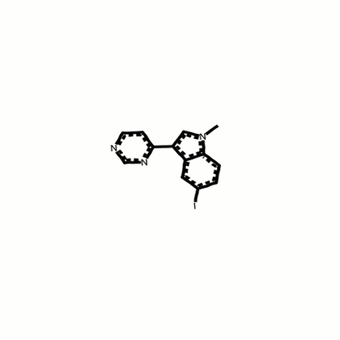 Cn1cc(-c2ccncn2)c2cc(I)ccc21